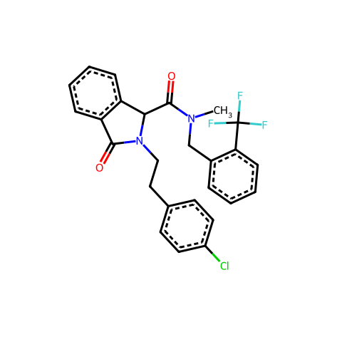 CN(Cc1ccccc1C(F)(F)F)C(=O)C1c2ccccc2C(=O)N1CCc1ccc(Cl)cc1